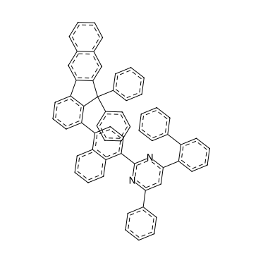 c1ccc(-c2cc(-c3ccccc3-c3ccccc3)nc(-c3ccc(-c4cccc5c4C(c4ccccc4)(c4ccccc4)c4cc6ccccc6cc4-5)c4ccccc34)n2)cc1